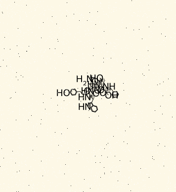 C[C@@H](O)[C@H](NC(=O)[C@H](CC(N)=O)NC(=O)[C@@H](Cc1c[nH]c2ccccc12)NC(=O)CCc1ccc(O)cc1)C(=O)N[C@@H](Cc1ccccc1)C(=O)O